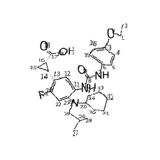 CCOc1ccc(NC(=O)Nc2cc([C@@H]3C[C@@H]3C(=O)O)c(F)cc2N(CC(C)C)C2CCCCC2)cc1